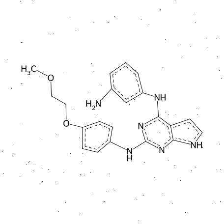 COCCOc1ccc(Nc2nc(Nc3cccc(N)c3)c3cc[nH]c3n2)cc1